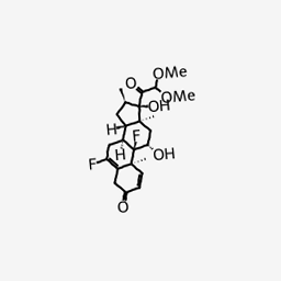 COC(OC)C(=O)[C@@]1(O)[C@H](C)C[C@H]2[C@@H]3CC(F)=C4CC(=O)C=C[C@]4(C)[C@@]3(F)[C@@H](O)C[C@@]21C